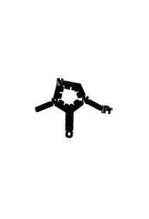 CC(C)n1cnn(C)c1=O